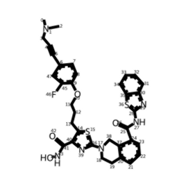 CN(C)CC#Cc1ccc(OCCCc2sc(N3CCc4cccc(C(=O)Nc5nc6ccccc6s5)c4C3)nc2C(=O)NO)c(F)c1